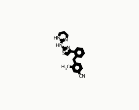 Cc1cc(C#N)ccc1Cc1ccccc1-c1csc(NC2=NCCCN2)n1